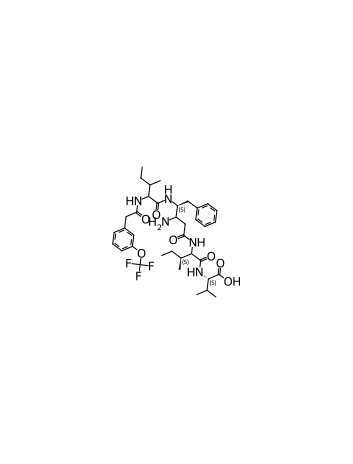 CCC(C)C(NC(=O)Cc1cccc(OC(F)(F)F)c1)C(=O)N[C@@H](Cc1ccccc1)C(N)CC(=O)NC(C(=O)N[C@H](C(=O)O)C(C)C)[C@@H](C)CC